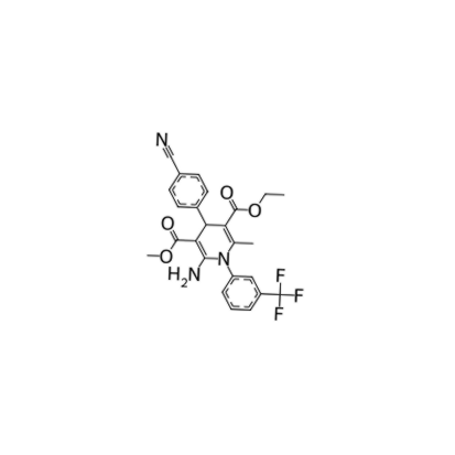 CCOC(=O)C1=C(C)N(c2cccc(C(F)(F)F)c2)C(N)=C(C(=O)OC)C1c1ccc(C#N)cc1